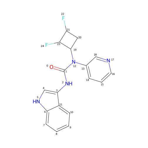 O=C(Nc1c[nH]c2ccccc12)N(c1cccnc1)C1CC(F)C1F